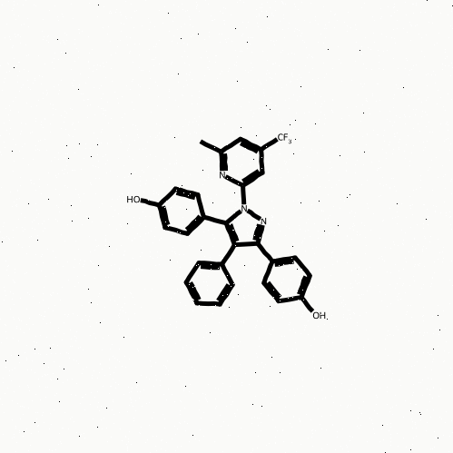 Cc1cc(C(F)(F)F)cc(-n2nc(-c3ccc(O)cc3)c(-c3ccccc3)c2-c2ccc(O)cc2)n1